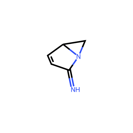 N=C1C=CC2CN12